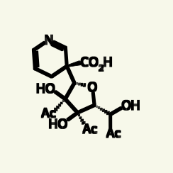 CC(=O)C(O)[C@H]1O[C@@H]([C@@]2(C(=O)O)C=NC=CC2)[C@@](O)(C(C)=O)[C@@]1(O)C(C)=O